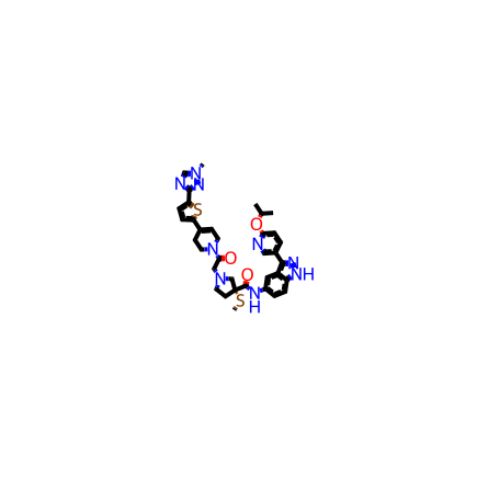 CS[C@@]1(C(=O)Nc2ccc3[nH]nc(-c4ccc(OC(C)C)nc4)c3c2)CCN(CC(=O)N2CC=C(c3ccc(-c4ncn(C)n4)s3)CC2)C1